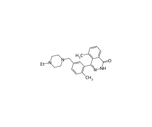 CCN1CCN(Cc2ccc(C)c(-c3n[nH]c(=O)c4cccc(C)c34)c2)CC1